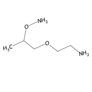 CC(COCCN)ON